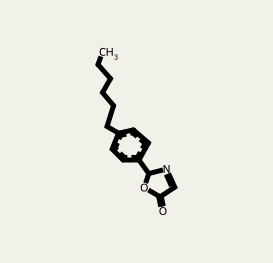 CCCCCCc1ccc(C2N=CC(=O)O2)cc1